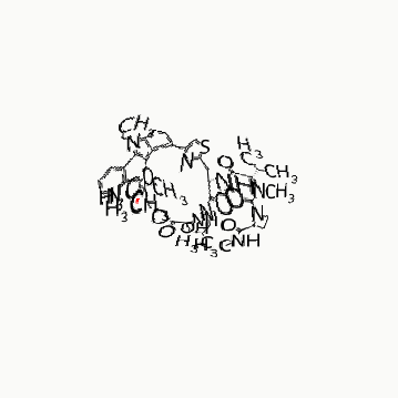 CCn1c(-c2cccnc2[C@H](C)OC)c2c3cc(ccc31)-c1csc(n1)C[C@H](NC(=O)[C@H](C(C)C)N(C)C(=O)N1CC[C@H]1C(=O)NC)C(=O)N1CC(C)C[C@@](O)(N1)C(=O)OCC(C)(C)C2